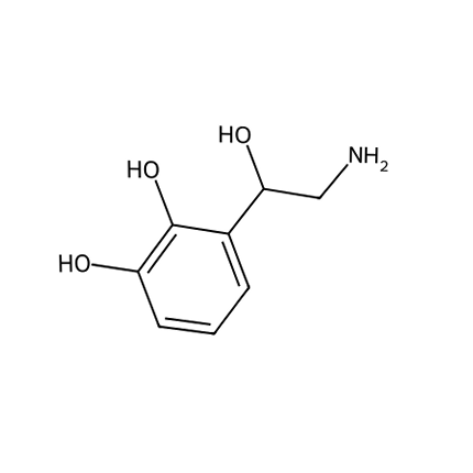 NCC(O)c1cccc(O)c1O